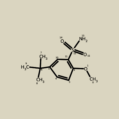 COc1ccc(C(C)(C)C)cc1S(N)(=O)=O